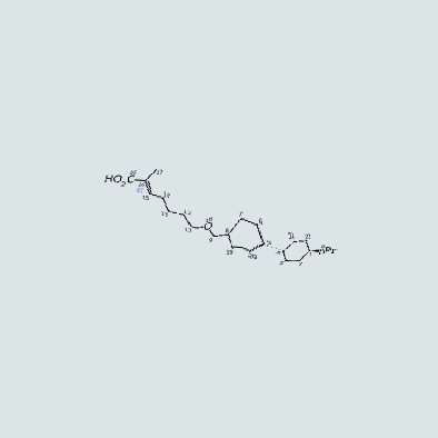 CCC[C@H]1CC[C@H](C2CCC(COCCCC/C=C(\C)C(=O)O)CC2)CC1